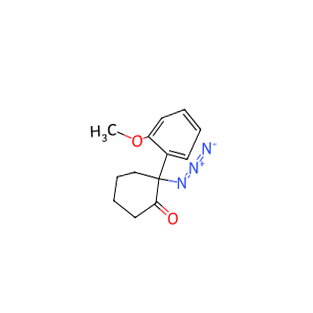 COc1ccccc1C1(N=[N+]=[N-])CCCCC1=O